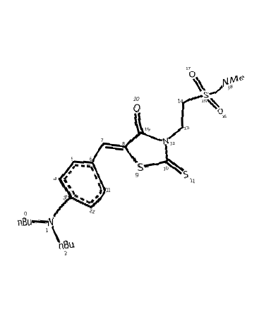 CCCCN(CCCC)c1ccc(/C=C2\SC(=S)N(CCS(=O)(=O)NC)C2=O)cc1